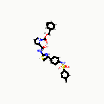 Cc1ccc(S(=O)(=O)Nc2ccc(-c3csc(NC(=O)C4CCCN4C(=O)OCc4ccccc4)n3)cc2)cc1